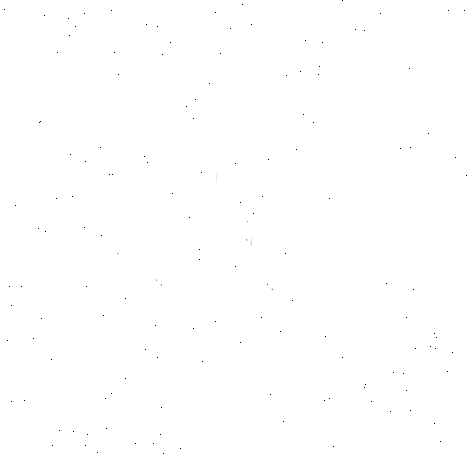 CC(C)(C)OC(=O)n1c(-c2ccc(Br)nc2)cnc1-c1c(F)cccc1Cl